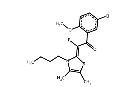 CCCCN1C(C)=C(C)SC1=C(F)C(=O)c1cc(Cl)ccc1OC